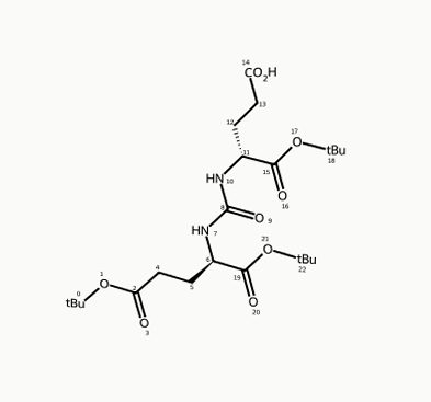 CC(C)(C)OC(=O)CC[C@@H](NC(=O)N[C@H](CCC(=O)O)C(=O)OC(C)(C)C)C(=O)OC(C)(C)C